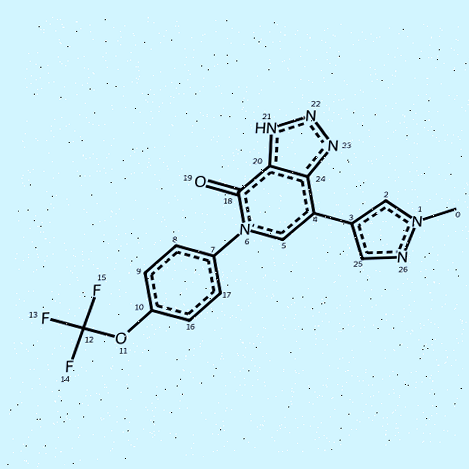 Cn1cc(-c2cn(-c3ccc(OC(F)(F)F)cc3)c(=O)c3[nH]nnc23)cn1